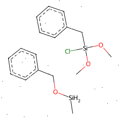 CO[Si](Cl)(Cc1ccccc1)OC.C[SiH2]OCc1ccccc1